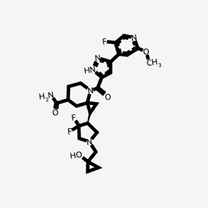 COc1cc(-c2cc(C(=O)N3CCC(C(N)=O)CC34CC4[C@H]3CN(CC4(O)CC4)CC3(F)F)[nH]n2)c(F)cn1